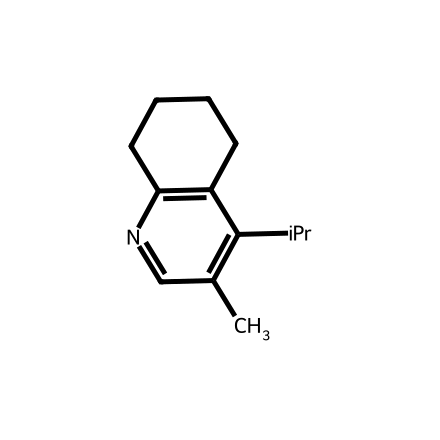 Cc1cnc2c(c1C(C)C)CCCC2